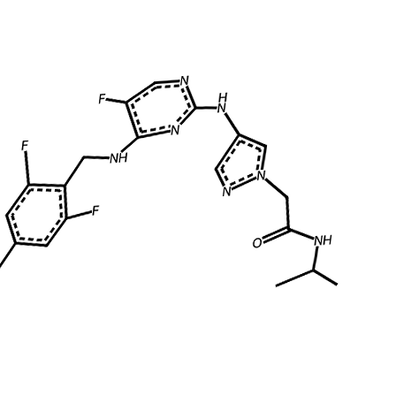 CC(C)NC(=O)Cn1cc(Nc2ncc(F)c(NCc3c(F)cc(F)cc3F)n2)cn1